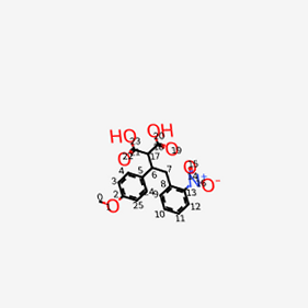 COc1ccc(C(Cc2ccccc2[N+](=O)[O-])C(C(=O)O)C(=O)O)cc1